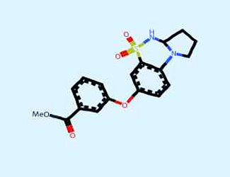 COC(=O)c1cccc(Oc2ccc3c(c2)S(=O)(=O)NC2CCCN32)c1